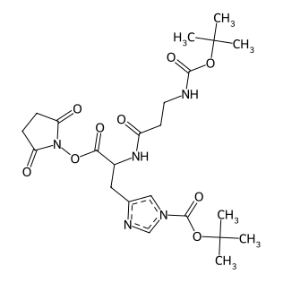 CC(C)(C)OC(=O)NCCC(=O)NC(Cc1cn(C(=O)OC(C)(C)C)cn1)C(=O)ON1C(=O)CCC1=O